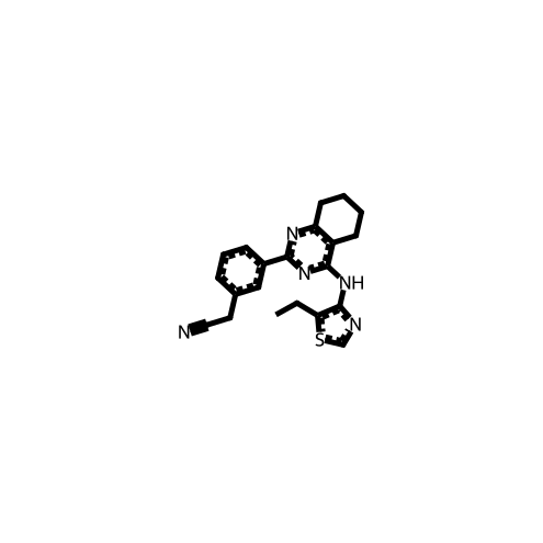 CCc1scnc1Nc1nc(-c2cccc(CC#N)c2)nc2c1CCCC2